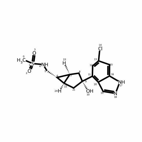 CS(=O)(=O)NC[C@@H]1[C@H]2C[C@@](O)(c3cc(Cl)cc4[nH]ncc34)C[C@@H]12